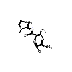 CN1CCN/C1=N/C(=O)c1nc(Cl)c(N)nc1N